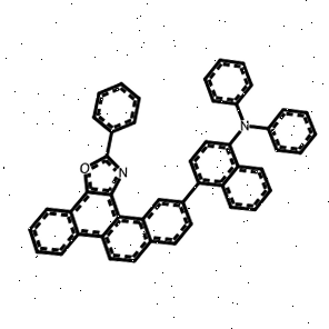 c1ccc(-c2nc3c(o2)c2ccccc2c2ccc4ccc(-c5ccc(N(c6ccccc6)c6ccccc6)c6ccccc56)cc4c23)cc1